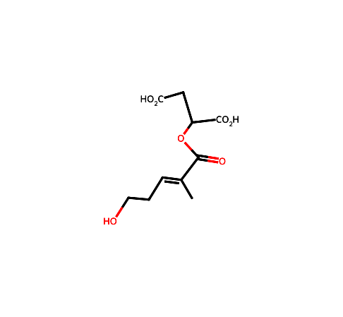 CC(=CCCO)C(=O)OC(CC(=O)O)C(=O)O